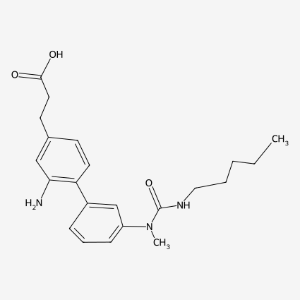 CCCCCNC(=O)N(C)c1cccc(-c2ccc(CCC(=O)O)cc2N)c1